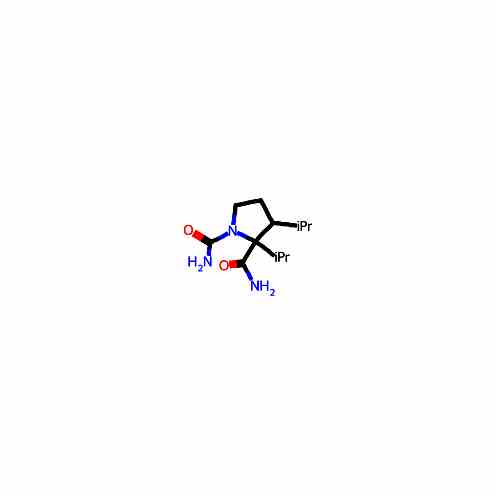 CC(C)C1CCN(C(N)=O)C1(C(N)=O)C(C)C